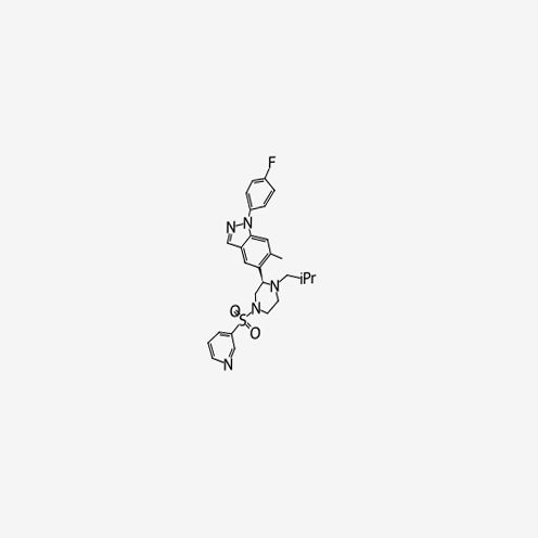 Cc1cc2c(cnn2-c2ccc(F)cc2)cc1[C@@H]1CN(S(=O)(=O)c2cccnc2)CCN1CC(C)C